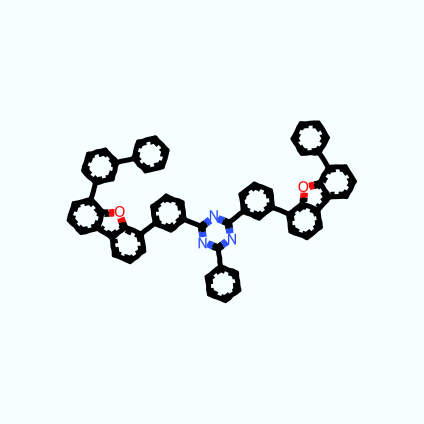 c1ccc(-c2cccc(-c3cccc4c3oc3c(-c5cccc(-c6nc(-c7ccccc7)nc(-c7cccc(-c8cccc9c8oc8c(-c%10ccccc%10)cccc89)c7)n6)c5)cccc34)c2)cc1